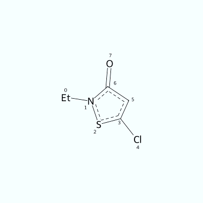 CCn1sc(Cl)cc1=O